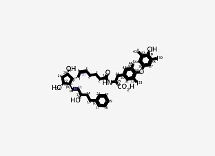 O=C(CCC/C=C\C[C@@H]1[C@@H](/C=C/[C@@H](O)CCc2ccccc2)[C@H](O)C[C@@H]1O)NC(Cc1cc(I)c(Oc2cc(I)c(O)c(I)c2)c(I)c1)C(=O)O